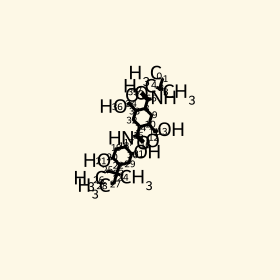 CCC(C)(C)NC(=O)C1CC(C(=O)O)C(C(=O)NC2CC(O)C(C(C)(CC)CC)CC2O)CC1C(=O)O